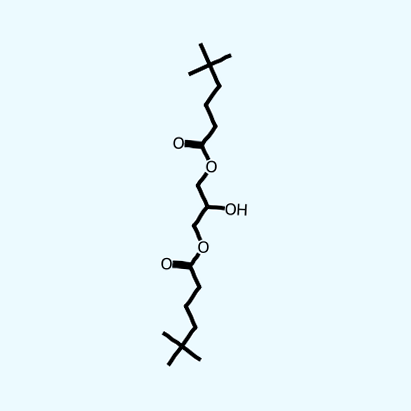 CC(C)(C)CCCC(=O)OCC(O)COC(=O)CCCC(C)(C)C